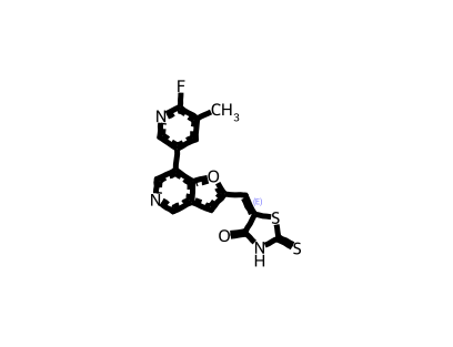 Cc1cc(-c2cncc3cc(/C=C4/SC(=S)NC4=O)oc23)cnc1F